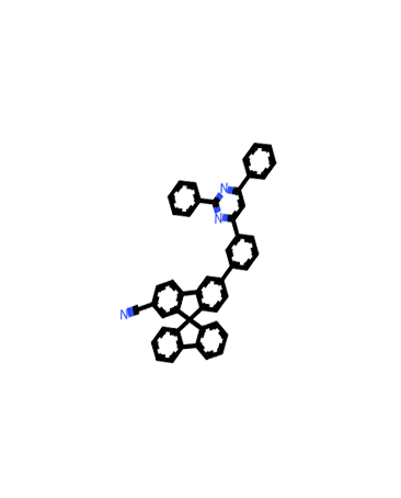 N#Cc1ccc2c(c1)C1(c3ccccc3-c3ccccc31)c1ccc(-c3cccc(-c4cc(-c5ccccc5)nc(-c5ccccc5)n4)c3)cc1-2